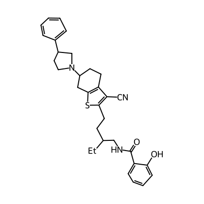 CCC(CCc1sc2c(c1C#N)CCC(N1CCC(c3ccccc3)C1)C2)CNC(=O)c1ccccc1O